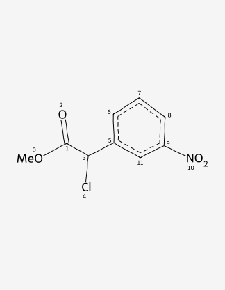 COC(=O)C(Cl)c1cccc([N+](=O)[O-])c1